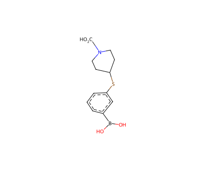 O=C(O)N1CCC(Sc2cccc(B(O)O)c2)CC1